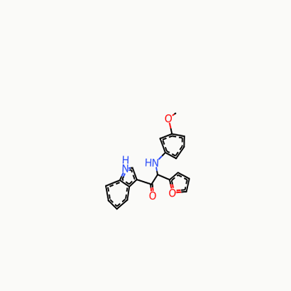 COc1cccc(NC(C(=O)c2c[nH]c3ccccc23)c2ccco2)c1